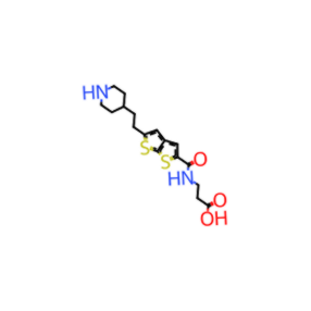 O=C(O)CCNC(=O)c1cc2cc(CCC3CCNCC3)sc2s1